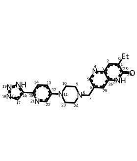 CCc1cc2ncc(CN3CCN(c4ccc(-c5cnn[nH]5)nc4)CC3)cc2[nH]c1=O